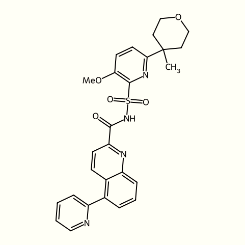 COc1ccc(C2(C)CCOCC2)nc1S(=O)(=O)NC(=O)c1ccc2c(-c3ccccn3)cccc2n1